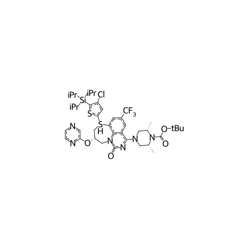 CC(C)[Si](c1sc([SH]2C[C@@H](Oc3cnccn3)Cn3c(=O)nc(N4C[C@@H](C)N(C(=O)OC(C)(C)C)[C@@H](C)C4)c4cc(C(F)(F)F)cc2c43)cc1Cl)(C(C)C)C(C)C